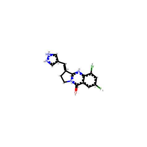 O=c1c2cc(F)cc(Br)c2nc2n1CCC2=Cc1cn[nH]c1